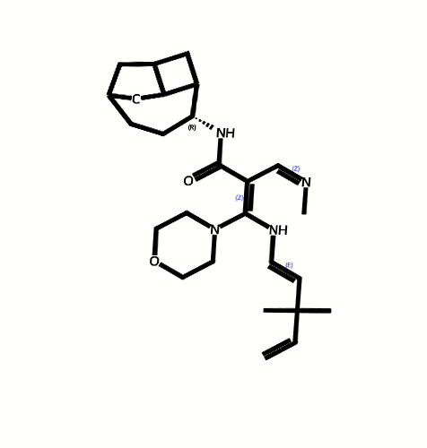 C=CC(C)(C)/C=C/N/C(=C(\C=N/C)C(=O)N[C@@H]1CCC2CC3CC1C3C2)N1CCOCC1